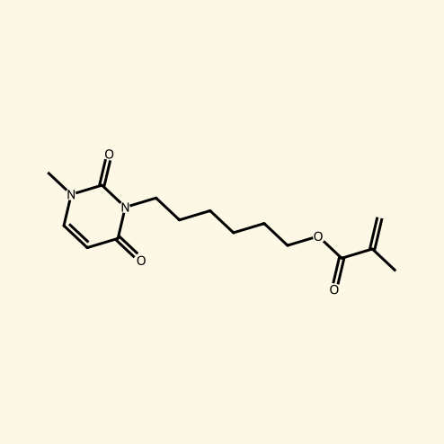 C=C(C)C(=O)OCCCCCCn1c(=O)ccn(C)c1=O